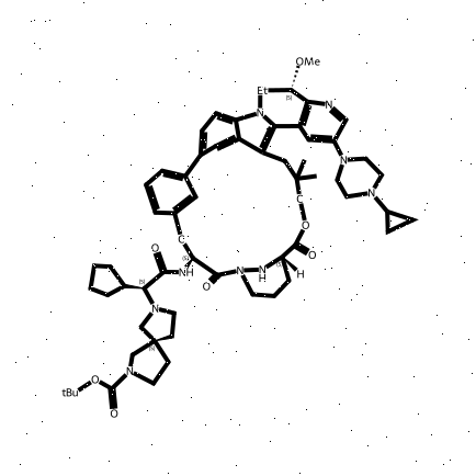 CCn1c(-c2cc(N3CCN(C4CC4)CC3)cnc2[C@H](C)OC)c2c3cc(ccc31)-c1cccc(c1)C[C@H](NC(=O)[C@H](C1CCCC1)N1CC[C@]3(CCN(C(=O)OC(C)(C)C)C3)C1)C(=O)N1CCC[C@H](N1)C(=O)OCC(C)(C)C2